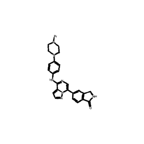 CC(C)N1CCN(c2ccc(Nc3ncc(-c4ccc5c(c4)CNC5=O)n4nccc34)cc2)CC1